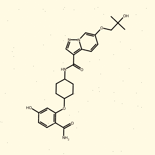 CC(C)(O)COc1ccc2c(C(=O)NC3CCC(Oc4cc(O)ccc4C(N)=O)CC3)cnn2c1